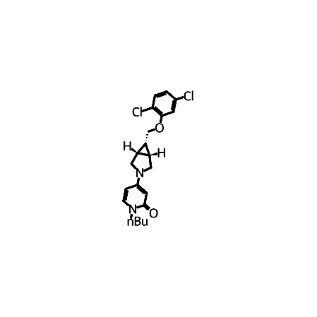 CCCCn1ccc(N2C[C@@H]3[C@H](COc4cc(Cl)ccc4Cl)[C@@H]3C2)cc1=O